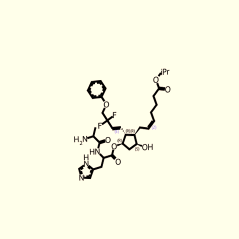 CC(C)OC(=O)CCC/C=C\C[C@@H]1[C@@H](/C=C/C(F)(F)COc2ccccc2)[C@H](OC(=O)C(Cc2cnc[nH]2)NC(=O)C(C)N)C[C@@H]1O